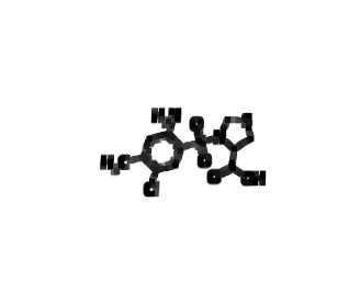 Cc1cc(N)c(S(=O)(=O)N2CSC[C@H]2C(=O)O)cc1Cl